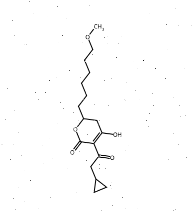 COCCCCCCC1CC(O)=C(C(=O)CC2CC2)C(=O)O1